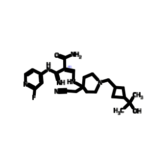 CC(C)(O)C1CC(CN2CCC(CC#N)(N/C=C(\C(=N)Nc3ccnc(F)c3)C(N)=O)CC2)C1